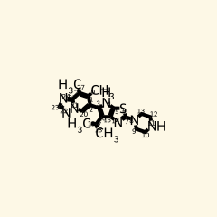 Cc1c(-c2[nH]c3sc(N4CCNCC4)nc3c2C(C)C)cn2ncnc2c1C